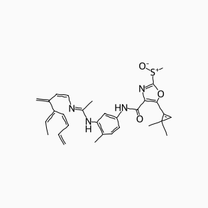 C=C/C=C\C(=C/C)C(=C)/C=C\N=C(/C)Nc1cc(NC(=O)c2nc([S+](C)[O-])oc2C2=CC2(C)C)ccc1C